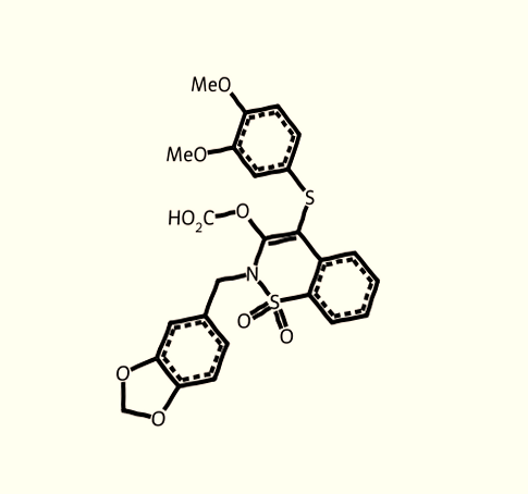 COc1ccc(SC2=C(OC(=O)O)N(Cc3ccc4c(c3)OCO4)S(=O)(=O)c3ccccc32)cc1OC